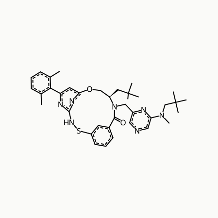 Cc1cccc(C)c1-c1cc2nc(n1)NSc1cccc(c1)C(=O)N(Cc1cncc(N(C)CC(C)(C)C)n1)[C@H](CC(C)(C)C)CO2